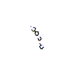 CCN1CCc2c(sc3cc(-n4ccc(OCc5ccc(F)cn5)cc4=O)ccc23)C1